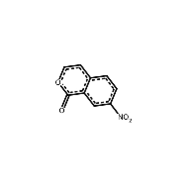 O=c1occc2ccc([N+](=O)[O-])cc12